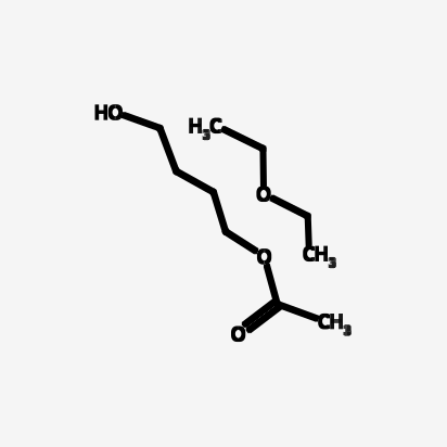 CC(=O)OCCCCO.CCOCC